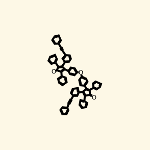 O=C1C(c2ccccc2)=C(c2ccc(Oc3ccc(C4=C(c5ccccc5)C(=O)C(c5ccccc5)=C4c4cccc(C#Cc5ccccc5)c4)cc3)cc2)C(c2cccc(C#Cc3ccccc3)c2)=C1c1ccccc1